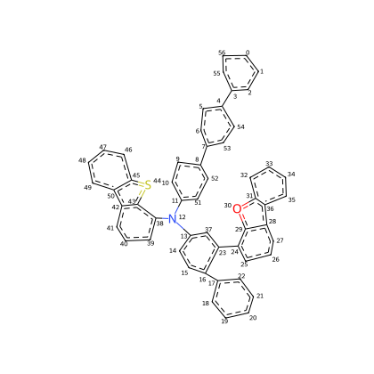 c1ccc(-c2ccc(-c3ccc(N(c4ccc(-c5ccccc5)c(-c5cccc6c5oc5ccccc56)c4)c4cccc5c4sc4ccccc45)cc3)cc2)cc1